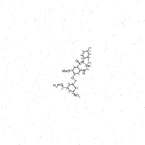 COc1cc2c(cc1OCc1cc(COP)cc([N+](=O)[O-])c1)NC[C@@H]1Cc3cc(C)ccc3N1C2=O